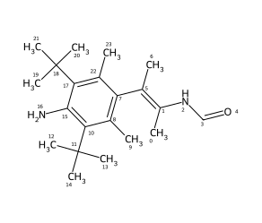 C/C(NC=O)=C(/C)c1c(C)c(C(C)(C)C)c(N)c(C(C)(C)C)c1C